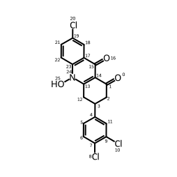 O=C1CC(c2ccc(Cl)c(Cl)c2)Cc2c1c(=O)c1cc(Cl)ccc1n2O